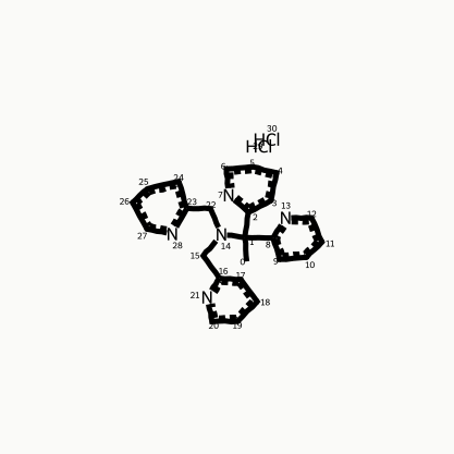 CC(c1ccccn1)(c1ccccn1)N(Cc1ccccn1)Cc1ccccn1.Cl.Cl